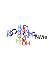 CCOc1nc(N2CC[C@H](NC)C2)ncc1C(=O)Nc1ccc2nn(C)cc2c1.O=C(O)C(F)(F)F